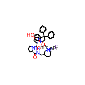 CCC[N+]1(CCC)CCC[C@@H](CNC(=O)[C@H]2CCCN2C(=O)[C@@H]2C[C@@H](O)CN2C(=O)CC(c2ccccc2)(c2ccccc2)c2ccccc2)C1.[I-]